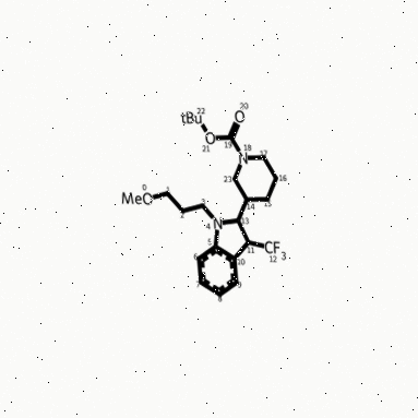 COCCCN1c2ccccc2C(C(F)(F)F)C1C1CCCN(C(=O)OC(C)(C)C)C1